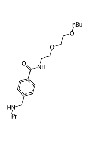 CCCCOCCOCCNC(=O)c1ccc(CNC(C)C)cc1